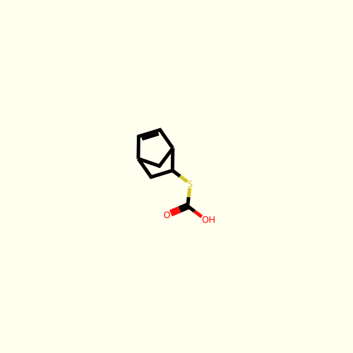 O=C(O)SC1CC2C=CC1C2